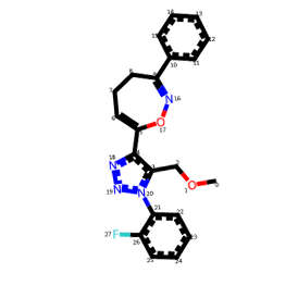 COCc1c(C2=CCCC(c3ccccc3)=NO2)nnn1-c1ccccc1F